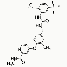 CCc1ccc(C(F)(F)F)cc1NC(=O)NCc1ccc(Oc2ccnc(C(=O)NC)c2)c(C)c1